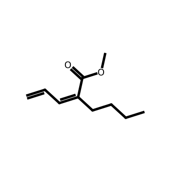 C=CC=C(CCCC)C(=O)OC